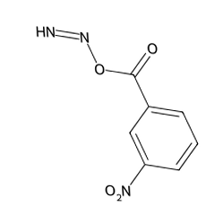 N=NOC(=O)c1cccc([N+](=O)[O-])c1